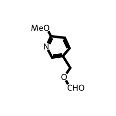 COc1ccc(COC=O)cn1